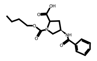 CCCCOC(=O)N1C[C@H](NC(=O)c2ccccc2)CC1C(=O)O